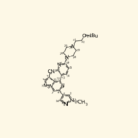 Cn1cc(-c2cn3ncc(C#N)c3c(-c3ccc(N4CCN(CCOC(C)(C)C)CC4)nc3)n2)cn1